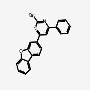 Brc1nc(-c2ccccc2)cc(-c2ccc3c(c2)oc2ccccc23)n1